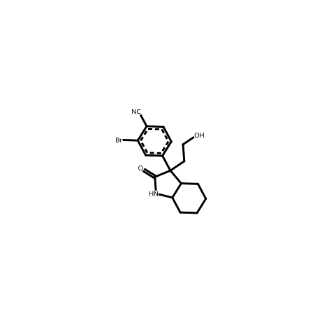 N#Cc1ccc(C2(CCO)C(=O)NC3CCCCC32)cc1Br